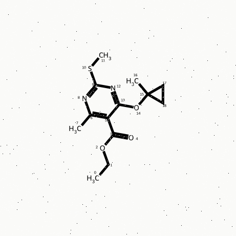 CCOC(=O)c1c(C)nc(SC)nc1OC1(C)CC1